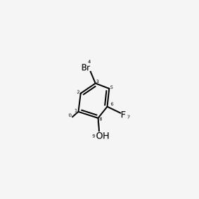 Cc1cc(Br)cc(F)c1O